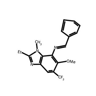 CCc1nc2cc(C(F)(F)F)c(OC)c(N=Cc3ccccc3)c2n1C